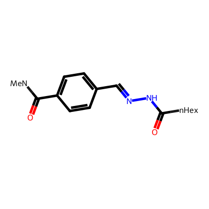 CCCCCCC(=O)N/N=C/c1ccc(C(=O)NC)cc1